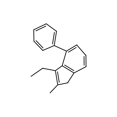 CCC1=C(C)[CH]c2cccc(-c3ccccc3)c21